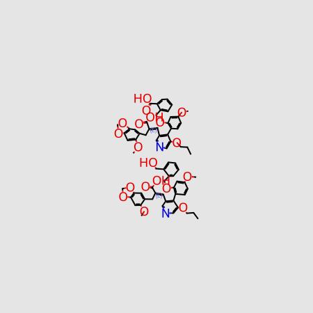 CCCOc1cncc(/C=C(\Cc2cc3c(cc2OC)OCO3)C(=O)O)c1-c1ccc(OC)cc1OCc1ccccc1C(=O)O.CCCOc1cncc(/C=C(\Cc2cc3c(cc2OC)OCO3)C(=O)O)c1-c1ccc(OC)cc1OCc1ccccc1CO